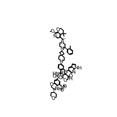 COc1ncc([C@H](C)N2CCN(C3CC4(CCN(c5ccc(C(=O)NS(=O)(=O)c6cc7c(c([N+](=O)[O-])c6)N[C@H](C6CCOCC6)CO7)c(N6c7cc8cc[nH]c8nc7O[C@H]7COCC[C@@H]76)c5)CC4)C3)[C@H](c3ccccc3C)C2)c2c1OCCC2(C)C